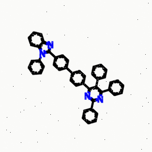 c1ccc(-c2nc(-c3ccccc3)c(-c3ccccc3)c(-c3ccc(-c4ccc(-c5nc6ccccc6n5-c5ccccc5)cc4)cc3)n2)cc1